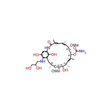 CO[C@H]1C[C@H](C)Cc2c(O)c(cc(O)c2NCC(O)CO)NC(=O)/C(C)=C/C=C\[C@H](OC)C[C@@H](OC(N)=O)/C(C)=C/[C@H](C)[C@H]1O